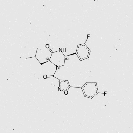 CC(C)C[C@H]1C(=O)N[C@@H](c2cccc(F)c2)CN1C(=O)c1cc(-c2ccc(F)cc2)on1